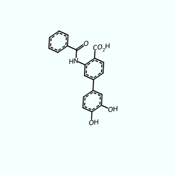 O=C(Nc1cc(-c2ccc(O)c(O)c2)ccc1C(=O)O)c1ccccc1